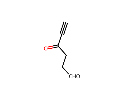 C#CC(=O)CCC=O